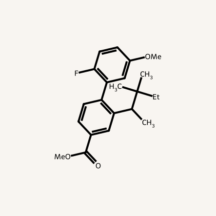 CCC(C)(C)C(C)c1cc(C(=O)OC)ccc1-c1cc(OC)ccc1F